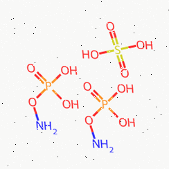 NOP(=O)(O)O.NOP(=O)(O)O.O=S(=O)(O)O